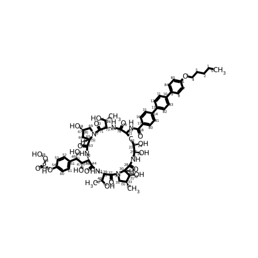 CCCCCOc1ccc(-c2ccc(-c3ccc(C(=O)NC4C[C@@H](O)[C@@H](O)NC(=O)[C@@H]5[C@@H](O)[C@@H](C)CN5C(=O)[C@H]([C@@H](C)O)NC(=O)[C@H]([C@H](O)[C@@H](O)c5ccc(O[PH](=O)OO)cc5)NC(=O)[C@@H]5C[C@@H](O)CN5C(=O)[C@H]([C@@H](C)O)NC4=O)cc3)cc2)cc1